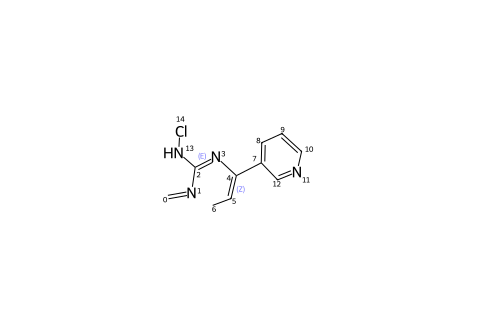 C=N/C(=N\C(=C/C)c1cccnc1)NCl